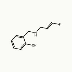 Oc1ccccc1CNCC=CF